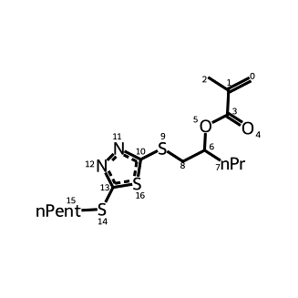 C=C(C)C(=O)OC(CCC)CSc1nnc(SCCCCC)s1